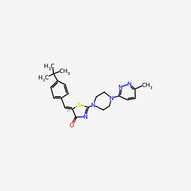 Cc1ccc(N2CCN(C3=NC(=O)/C(=C/c4ccc(C(C)(C)C)cc4)S3)CC2)nn1